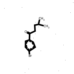 C[C](C)CCC(=O)c1ccc(Br)cc1